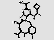 CC(C)/C1=C/C(=N)c2nc3nc(C(C)O)nc(N[C@H](C)C4CCC4)c3n2C[C@H]2C=C(C1C)[C@H](C)CC2